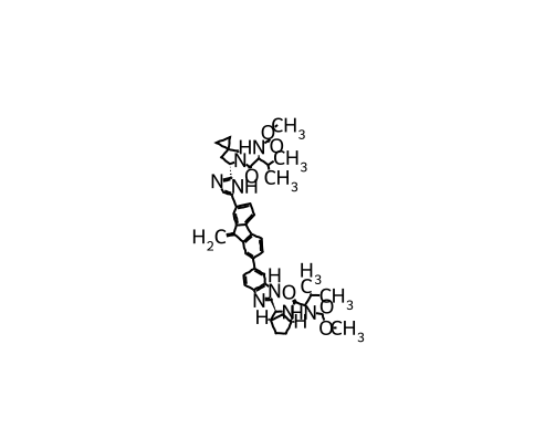 C=C1c2cc(-c3ccc4nc([C@@H]5[C@H]6CC[C@H](C6)N5C(=O)[C@@H](NC(=O)OC)C(C)C)[nH]c4c3)ccc2-c2ccc(-c3cnc([C@@H]4CC5(CC5)CN4C(=O)[C@H](NC(=O)OC)C(C)C)[nH]3)cc21